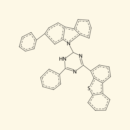 c1ccc(C2=NC(c3cccc4c3sc3ccccc34)=NC(n3c4ccccc4c4ccc(-c5ccccc5)cc43)N2)cc1